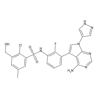 Cc1cc(CO)c(Cl)c(S(=O)(=O)Nc2cccc(-c3cn(-c4cn[nH]c4)c4ncnc(N)c34)c2F)c1